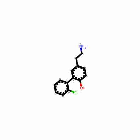 NCCc1ccc(O)c(-c2ccccc2Cl)c1